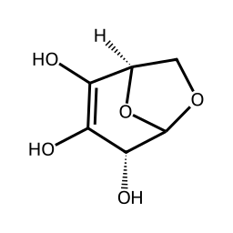 OC1=C(O)[C@H]2COC(O2)[C@@H]1O